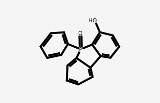 O=P1(c2ccccc2)c2ccccc2-c2cccc(O)c21